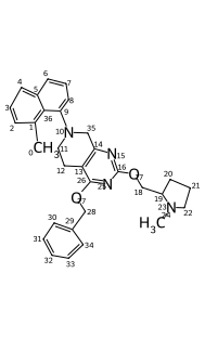 Cc1cccc2cccc(N3CCc4c(nc(OCC5CCCN5C)nc4OCc4ccccc4)C3)c12